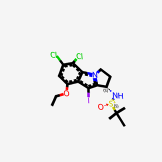 CCOc1cc(Cl)c(Cl)c2c1c(I)c1n2CC[C@@H]1N[S@+]([O-])C(C)(C)C